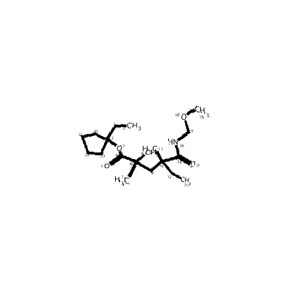 CCC1(OC(=O)C(C)(C)CC(C)(CC)C(=O)NCOC)CCCC1